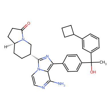 CC(O)(c1ccc(-c2nc([C@@H]3CC[C@H]4CCC(=O)N4C3)n3ccnc(N)c23)cc1)c1cccc(C2CCC2)c1